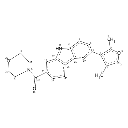 Cc1noc(C)c1-c1ccc2[nH]c3cc(C(=O)N4CCOCC4)ccc3c2c1